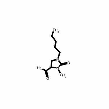 CCCCCN1CC(C(=O)O)N(C)C1=O